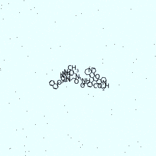 Cc1cc(CN(CCNC(=O)c2ccc(C(=O)O)c(C3=c4cc5c6c(c4Oc4c3cc3c7c4CCCN7CCCC3)CCC[N+]=6CCCC5)c2)C(=O)CCNC[C@H](O)COc2cccc3ccccc23)ccc1N=[N+]=[N-]